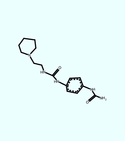 NC(=O)Nc1ccc(NC(=O)NCCN2CCCCC2)cc1